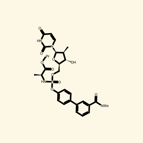 CNC(=O)c1cccc(-c2ccc(OP(=O)(N[C@@H](C)C(=O)OC(C)C)OC[C@H]3O[C@@H](n4ccc(=O)[nH]c4=O)[C@@H](C)[C@@H]3O)cc2)c1